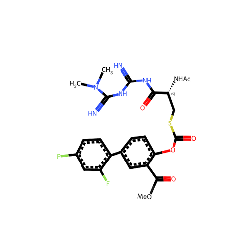 COC(=O)c1cc(-c2ccc(F)cc2F)ccc1OC(=O)SC[C@@H](NC(C)=O)C(=O)NC(=N)NC(=N)N(C)C